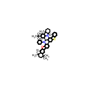 CC(C)(C)c1cc2c3c(c1)C1(C)CCCCC1(C)N3c1c3c(cc4sc5ccccc5c14)-c1ccc4c(oc5cc6c(cc54)C(C)(C)CCC6(C)C)c1N(c1ccccc1)B23